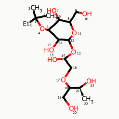 CCC(C)(C)OC1C(O)C(CO)OC(O[C@H](O)COC(CO)[C@H](C)O)C1O